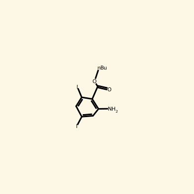 CCCCOC(=O)c1c(N)cc(I)cc1I